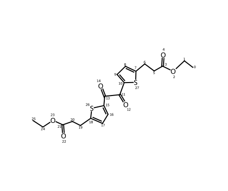 CCOC(=O)CCc1ccc(C(=O)C(=O)c2ccc(CCC(=O)OCC)s2)s1